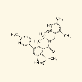 Cc1ccc(-c2cc(C(=O)N(Cc3c(C)cc(C)[nH]c3=O)C(C)C)c3c(C)n[nH]c3c2)cn1